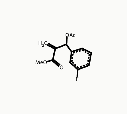 C=C(C(=O)OC)C(OC(C)=O)c1cccc(F)c1